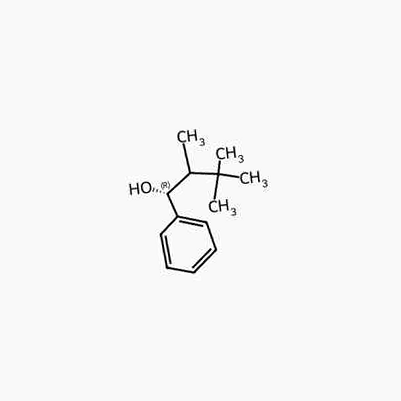 CC([C@@H](O)c1ccccc1)C(C)(C)C